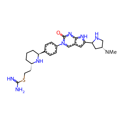 CN[C@H]1CNC(c2cc3cn(-c4ccc([C@@H]5CCC[C@@H](CCSC(=N)N)N5)cc4)c(=O)nc3[nH]2)C1